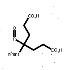 CCCCCC(CCC(=O)O)(CCC(=O)O)P=O